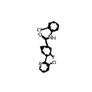 O=C(Nc1ccccc1Cl)c1ccc(-c2ncccc2Cl)c(F)c1